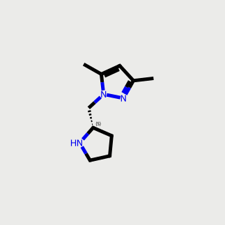 Cc1cc(C)n(C[C@@H]2CCCN2)n1